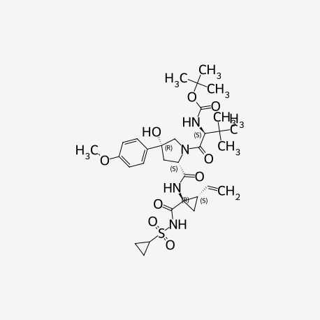 C=C[C@@H]1C[C@]1(NC(=O)[C@@H]1C[C@@](O)(c2ccc(OC)cc2)CN1C(=O)[C@@H](NC(=O)OC(C)(C)C)C(C)(C)C)C(=O)NS(=O)(=O)C1CC1